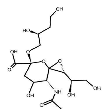 CC(=O)N[C@@H]1C(O)C[C@](OC[C@@H](O)CCO)(C(=O)O)OC12O[C@@H]2[C@H](O)CO